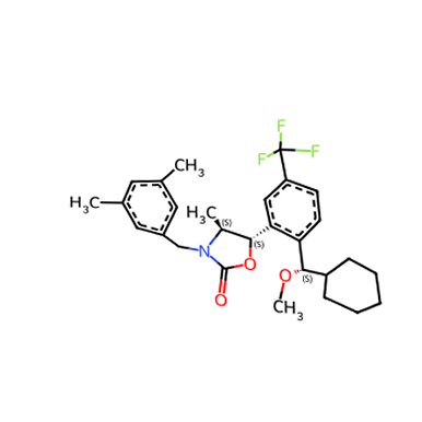 CO[C@H](c1ccc(C(F)(F)F)cc1[C@@H]1OC(=O)N(Cc2cc(C)cc(C)c2)[C@H]1C)C1CCCCC1